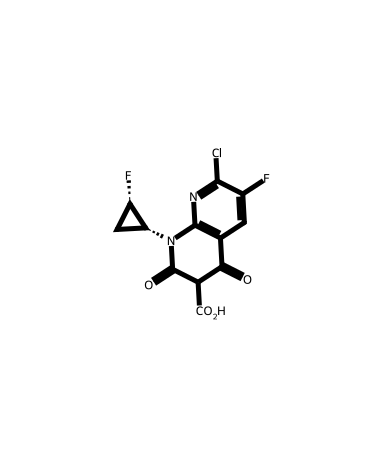 O=C(O)C1C(=O)c2cc(F)c(Cl)nc2N([C@@H]2C[C@@H]2F)C1=O